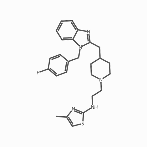 Cc1csc(NCCN2CCC(Cc3nc4ccccc4n3Cc3ccc(F)cc3)CC2)n1